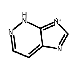 C1=NNC2=[N+]C=NC2=C1